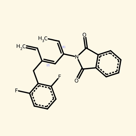 C=C/C(=C\C(=C/C)N1C(=O)c2ccccc2C1=O)Cc1c(F)cccc1F